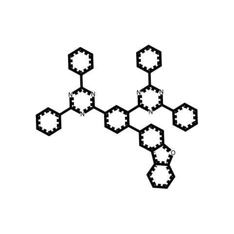 c1ccc(-c2nc(-c3ccccc3)nc(-c3ccc(-c4ccc5oc6ccccc6c5c4)c(-c4nc(-c5ccccc5)nc(-c5ccccc5)n4)c3)n2)cc1